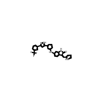 O=C1Nc2cc(Nc3cccc(-c4cc(-c5cccc(C(F)(F)F)c5)n[nH]4)c3)ccc2/C1=C/c1ccc[nH]1